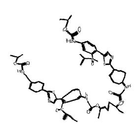 CC(C)OC(=O)Nc1ccc(-c2cnc(C3CCC(NC(=O)OC(C)CCC(C)OC(=O)Nc4ccc(-c5cnc(C6CCC(NC(=O)OC(C)C)CC6)s5)c([S+]([O-])C(C)C)c4)CC3)s2)c(P(C)(=O)C(C)C)c1